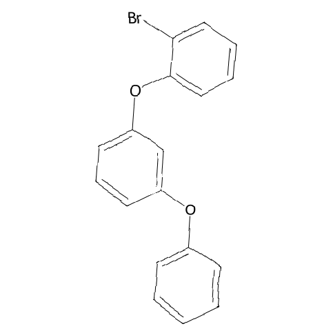 Brc1ccccc1Oc1cccc(Oc2ccccc2)c1